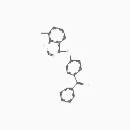 Cc1cccc2c(Nc3ccc(C(=O)c4ccccc4)cc3)ncnc12